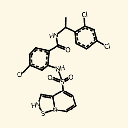 CC(NC(=O)c1ccc(Cl)cc1NS(=O)(=O)C1=CC=CN2SNC=C12)c1ccc(Cl)cc1Cl